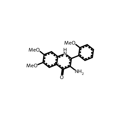 COc1cc2[nH]c(-c3ccccc3OC)c(N)c(=O)c2cc1OC